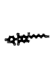 O=C1CCC(N2C(=O)c3cc(F)c(NCCCCCCO)cc3C2=O)C(=O)N1